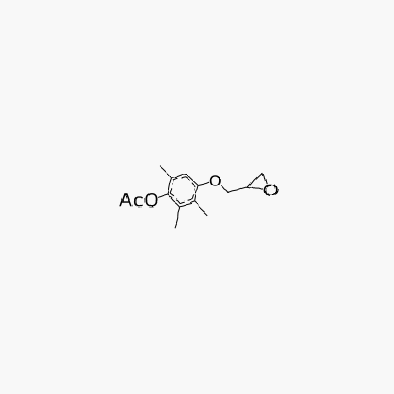 CC(=O)Oc1c(C)cc(OCC2CO2)c(C)c1C